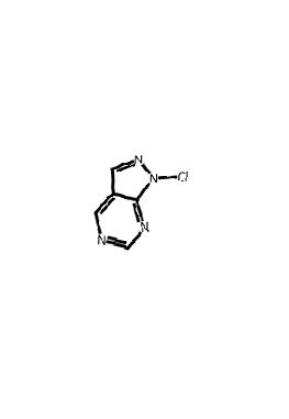 Cln1ncc2cncnc21